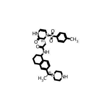 Cc1ccc(S(=O)(=O)N2C=CNC(=O)[C@H]2CC(=O)NC2CCCc3cc([C@@H](C)N4CCNCC4)ccc32)cc1